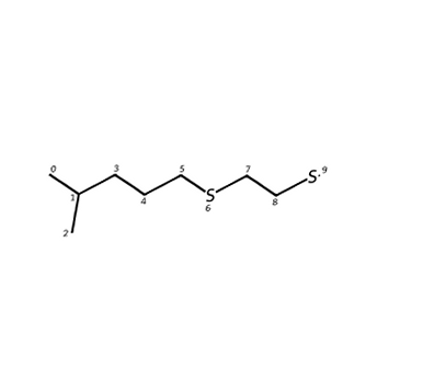 CC(C)CCCSCC[S]